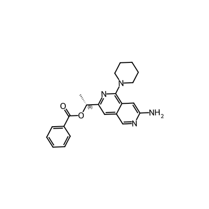 C[C@@H](OC(=O)c1ccccc1)c1cc2cnc(N)cc2c(N2CCCCC2)n1